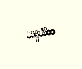 CCCC[C@H](NC(=O)CCCc1cc2ccccc2cc1S(=O)(=O)CC)C(=O)O